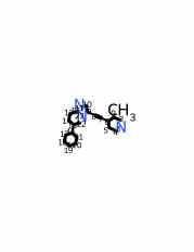 Cc1cnccc1C#Cc1cnc2ccc(-c3cc[c]cc3)cn12